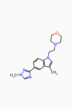 Cc1cn(CCN2CCOCC2)c2ccc(-c3ncn(C)n3)cc12